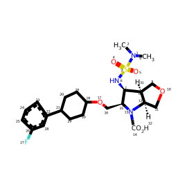 CN(C)S(=O)(=O)N[C@H]1[C@H]2COC[C@H]2N(C(=O)O)[C@H]1COC1CCC(c2cccc(F)c2)CC1